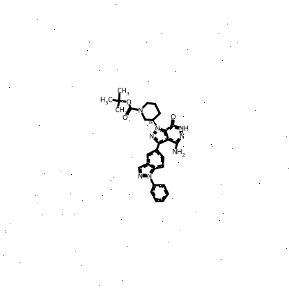 CC(C)(C)OC(=O)N1CCC[C@@H](n2nc(-c3ccc4c(cnn4-c4ccccc4)c3)c3c(N)n[nH]c(=O)c32)C1